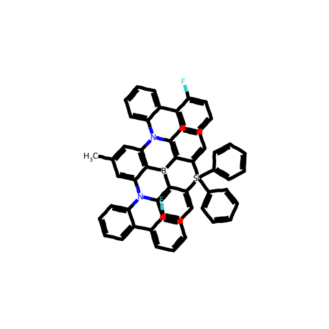 Cc1cc2c3c(c1)N(c1ccccc1-c1ccccc1F)c1cccc4c1B3c1c(cccc1[Si]4(c1ccccc1)c1ccccc1)N2c1ccccc1-c1ccccc1F